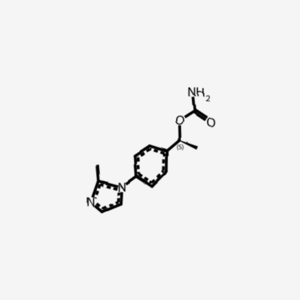 Cc1nccn1-c1ccc([C@H](C)OC(N)=O)cc1